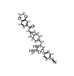 CNC(=O)NC(COc1ccc(C#N)cc1)CN1CC2CC(CN(CC(=O)c3ccc4c(c3)OCCO4)C2)C1